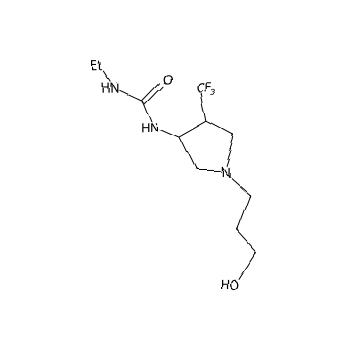 CCNC(=O)NC1CN(CCCO)CC1C(F)(F)F